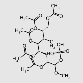 COC(OP(=O)(O)O)[C@@H](C[C@@H](OC(C)=O)C(OC(C)=O)C(C)[C@@H](COC(C)=O)OC(C)=O)OC(C)=O